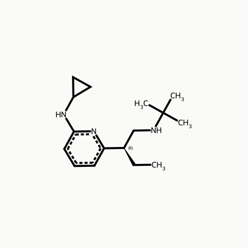 CC[C@H](CNC(C)(C)C)c1cccc(NC2CC2)n1